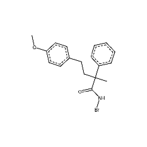 COc1ccc(CCC(C)(C(=O)NBr)c2ccccc2)cc1